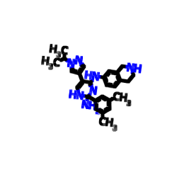 Cc1cc(C)cc(C2(N)N=C(Nc3ccc4c(c3)CNCC4)C(c3cnn(C(C)C)c3)=CN2)c1